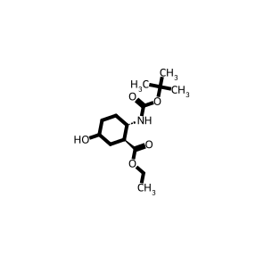 CCOC(=O)[C@H]1CC(O)CC[C@@H]1NC(=O)OC(C)(C)C